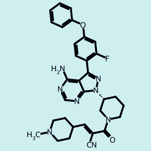 CN1CCC(C=C(C#N)C(=O)N2CCC[C@@H](n3nc(-c4ccc(Oc5ccccc5)cc4F)c4c(N)ncnc43)C2)CC1